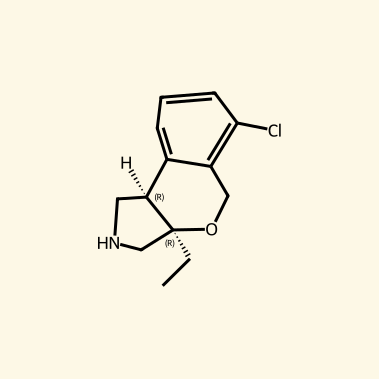 CC[C@]12CNC[C@H]1c1cccc(Cl)c1CO2